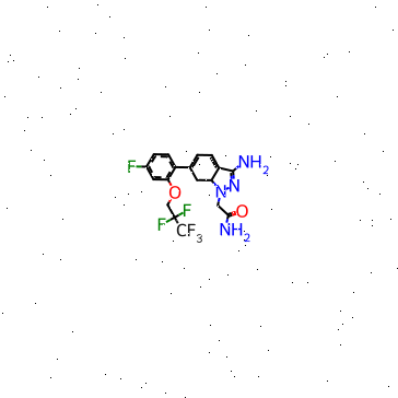 NC(=O)CN1N=C(N)C2=CC=C(c3ccc(F)cc3OCC(F)(F)C(F)(F)F)CC21